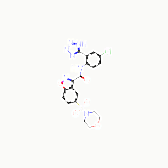 O=C(Nc1ccc(Cl)cc1-c1nnn[nH]1)c1noc2ccc(S(=O)(=O)N3CCOCC3)cc12